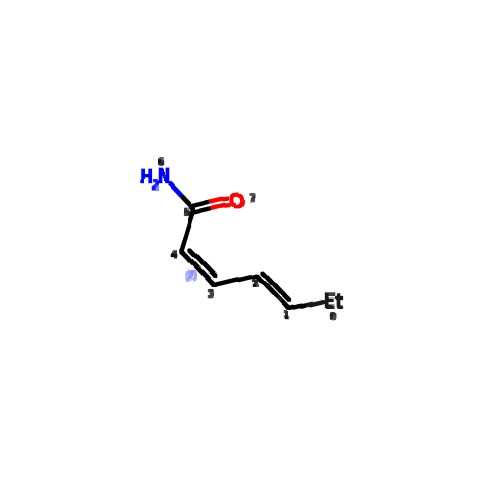 CCC=C/C=C\C(N)=O